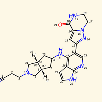 N#CCCN1C[C@H]2CC(Nc3c(-c4cc5n(n4)CCNC5=O)cnc4[nH]ccc34)C[C@H]2C1